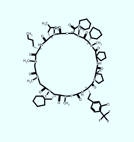 CCCC[C@@H]1NC(=O)[C@H](CC(C)C)N(C)C(=O)C[C@@H](C(=O)N2CCCCC2)N(C)C(=O)[C@H](C2CCCCC2)N(C)C(=O)C2(CCCC2)NC(=O)[C@@H]2CCCN2C(=O)[C@H](CCc2ccc(C(F)(F)F)c(Cl)c2)NC(=O)CN(C)C(=O)[C@H](CC2CCCCC2)N(C)C(=O)CN(C)C(=O)CN(C)C1=O